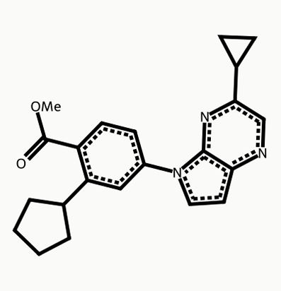 COC(=O)c1ccc(-n2ccc3ncc(C4CC4)nc32)cc1C1CCCC1